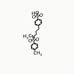 Cc1ccc(S(=O)(=O)N(C)CCCc2ccc(S(=O)(=O)O)cc2)cc1